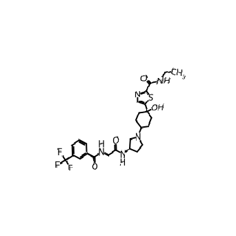 CCNC(=O)c1ncc(C2(O)CCC(N3CC[C@@H](NC(=O)CNC(=O)c4cccc(C(F)(F)F)c4)C3)CC2)s1